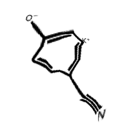 N#Cc1ccc([O-])cc1.[K+]